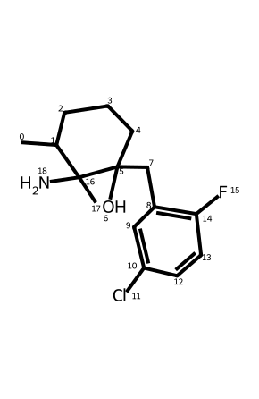 CC1CCCC(O)(Cc2cc(Cl)ccc2F)C1(C)N